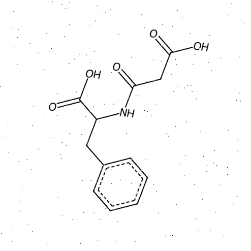 O=C(O)CC(=O)NC(Cc1ccccc1)C(=O)O